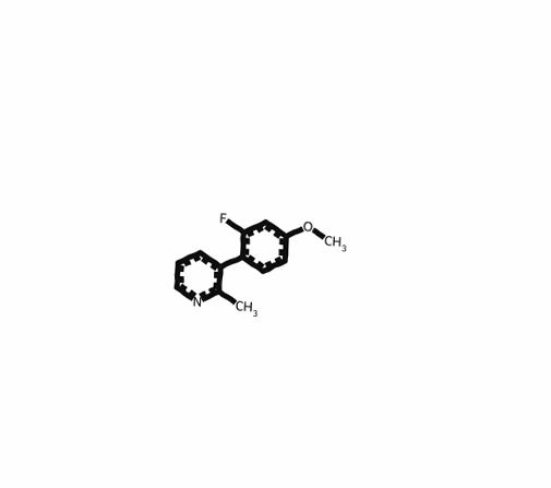 COc1ccc(-c2cccnc2C)c(F)c1